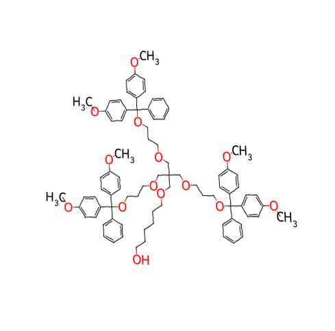 COc1ccc(C(OCCCOCC(COCCCCCCO)(COCCCOC(c2ccccc2)(c2ccc(OC)cc2)c2ccc(OC)cc2)COCCCOC(c2ccccc2)(c2ccc(OC)cc2)c2ccc(OC)cc2)(c2ccccc2)c2ccc(OC)cc2)cc1